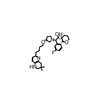 CC1(C)CNc2ccc(CCCCO[C@@H]3CCN(C(C(=O)O)c4cc(F)ccc4[C@@H]4CCCCO4)C3)nc2C1